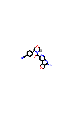 C[C@@H]1COC[C@H](c2ccc(C#N)cc2)N1C(=O)c1cc2c3c(c(N)nc2cn1)COC3